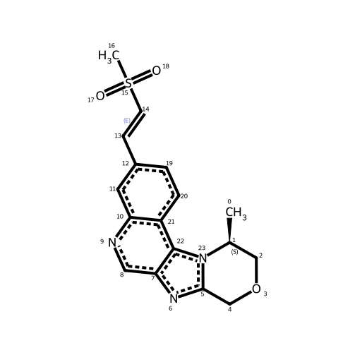 C[C@H]1COCc2nc3cnc4cc(/C=C/S(C)(=O)=O)ccc4c3n21